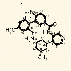 Cc1cc(F)c(-c2nc(C(=O)Nc3cnccc3[C@H]3C[C@H](C)[CH][C@H](N)C3)ccc2F)c(F)c1